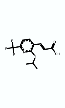 CC(C)Sc1nc(C(F)(F)F)ccc1C=CC(=O)O